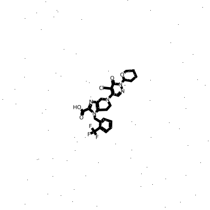 O=C(O)c1nc2c(n1Cc1ccccc1C(F)(F)F)CCN(c1cnn(C3CCCCO3)c(=O)c1Cl)C2